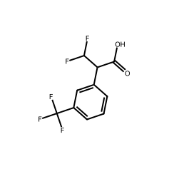 O=C(O)C(c1cccc(C(F)(F)F)c1)C(F)F